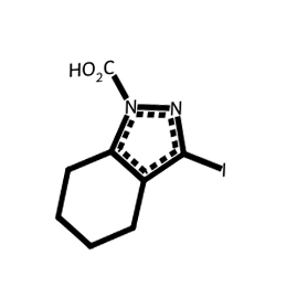 O=C(O)n1nc(I)c2c1CCCC2